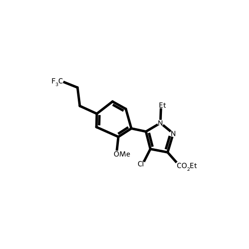 CCOC(=O)c1nn(CC)c(-c2ccc(CCC(F)(F)F)cc2OC)c1Cl